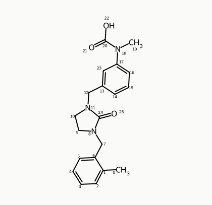 Cc1ccccc1CN1CCN(Cc2cccc(N(C)C(=O)O)c2)C1=O